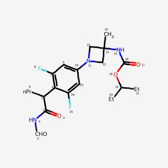 CCCC(C(=O)NC=O)c1c(F)cc(N2CC(C)(NC(=O)OC(CC)CC)C2)cc1F